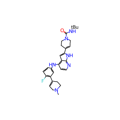 CN1CC=C(c2cc(Nc3ccnc4[nH]c(C5=CCN(C(=O)NC(C)(C)C)CC5)cc34)ccc2F)CC1